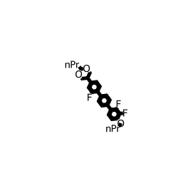 CCCOc1ccc(-c2ccc(-c3ccc(C4COC(CCC)OC4)cc3F)cc2)c(F)c1F